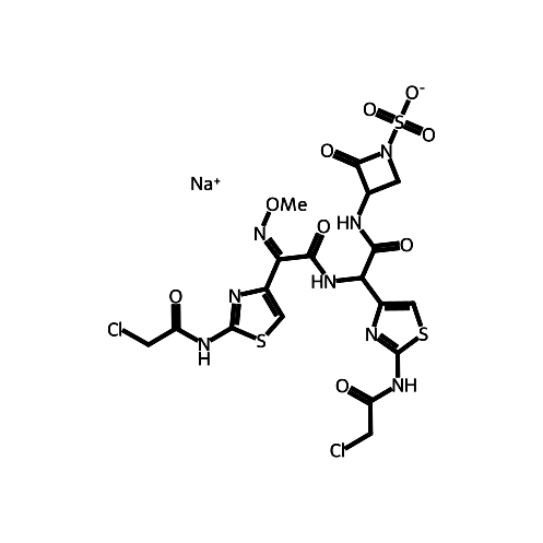 CO/N=C(\C(=O)NC(C(=O)NC1CN(S(=O)(=O)[O-])C1=O)c1csc(NC(=O)CCl)n1)c1csc(NC(=O)CCl)n1.[Na+]